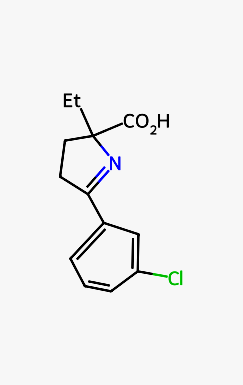 CCC1(C(=O)O)CCC(c2cccc(Cl)c2)=N1